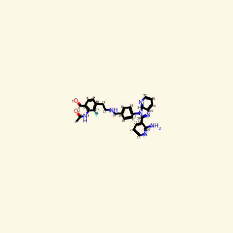 CC(=O)Nc1c(C=O)ccc(CCNCc2ccc(-n3c(-c4cccnc4N)nc4cccnc43)cc2)c1F